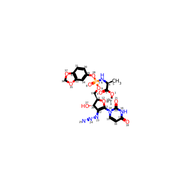 CC(C)OC(=O)[C@H](C)NP(=O)(OC[C@H]1OC(n2ccc(=O)[nH]c2=O)=C(N=[N+]=[N-])[C@@H]1O)Oc1ccc2c(c1)OCO2